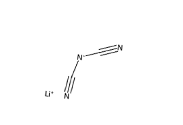 N#C[N-]C#N.[Li+]